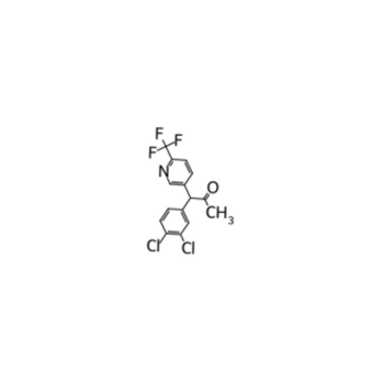 CC(=O)C(c1ccc(C(F)(F)F)nc1)c1ccc(Cl)c(Cl)c1